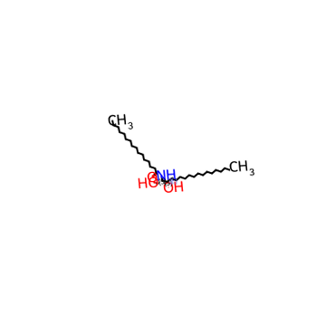 CCCCCCCCCCCCC/C=C/[C@H](O)[C@H](CO)NC(=O)CCCCCCCCCCCCCCC